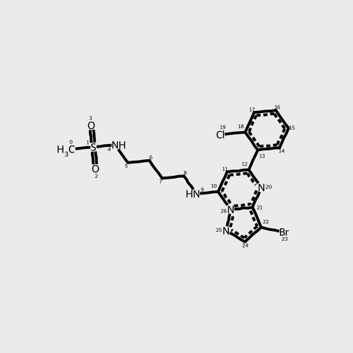 CS(=O)(=O)NCCCCNc1cc(-c2ccccc2Cl)nc2c(Br)cnn12